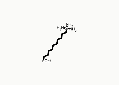 CCCCCCCCCCCCCCCCCC[Si](N)(N)N